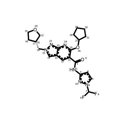 O=C(Nc1ccn(C(F)F)n1)c1cc2cn(C[C@@H]3CCOC3)nc2nc1OC1CCCC1